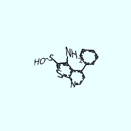 Nc1c(SO)sc2nccc(-c3ccccc3)c12